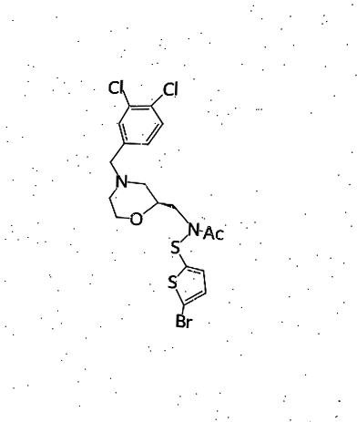 CC(=O)N(C[C@@H]1CN(Cc2ccc(Cl)c(Cl)c2)CCO1)Sc1ccc(Br)s1